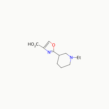 CCN1CCCC(c2nc(C(=O)O)co2)C1